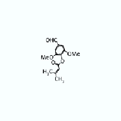 COc1cc(C=O)cc(OC)c1OC(=O)C=C(C)C